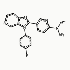 CCCN(CCC)c1ccc(-c2nc3ccncc3n2-c2ccc(F)cc2)cn1